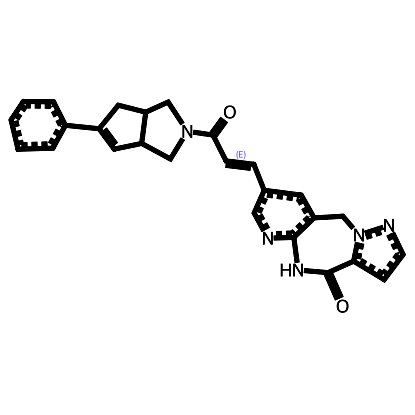 O=C1Nc2ncc(/C=C/C(=O)N3CC4C=C(c5ccccc5)CC4C3)cc2Cn2nccc21